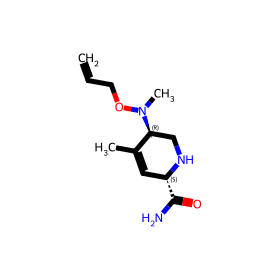 C=CCON(C)[C@H]1CN[C@H](C(N)=O)C=C1C